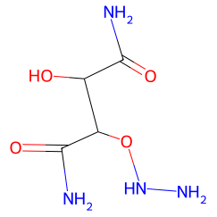 NNOC(C(N)=O)C(O)C(N)=O